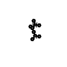 c1ccc(-c2cc(-c3ccc(-c4cc(-c5nc(-c6ccccc6)nc(-c6ccccc6)n5)c5ccccc5c4)cc3)cc(-c3ccccc3)n2)cc1